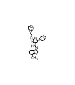 Cc1cccc2c1CC/C2=N/Nc1cc(N2CCOCC2)nc(OCCN2CCOCC2)n1